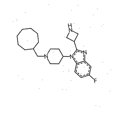 Fc1ccc2c(c1)nc(C1CNC1)n2C1CCN(CC2CCCCCCC2)CC1